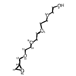 OCCOCCOCCOCCOCC1CO1